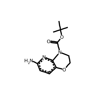 CC(C)(C)OC(=O)N1CCOc2ccc(N)nc21